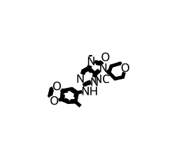 Cc1cc2c(cc1Nc1ncc3c(n1)n(C1(C#N)CCOCC1)c(=O)n3C)OC=CO2